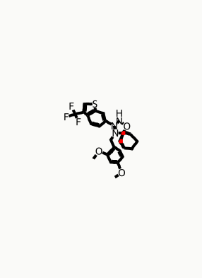 COc1ccc(CN2N(c3ccc4c(C(F)(F)F)csc4c3)NOC23CC2CCC3CC2)c(OC)c1